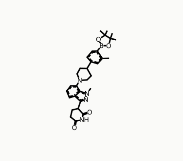 Cc1cc(C2CCN(c3cccc4c(C5CCC(=O)NC5=O)nn(C)c34)CC2)ccc1B1OC(C)(C)C(C)(C)O1